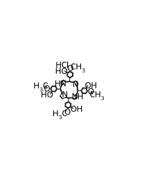 COc1ccc(-c2c3nc(c(-c4ccc(OC)c(O)c4)c4ccc([nH]4)c(-c4ccc(OC)c(O)c4)c4nc(c(-c5ccc(OC)c(O)c5)c5ccc2[nH]5)C=C4)C=C3)cc1O.Cl